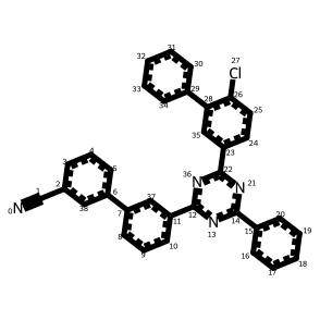 N#Cc1cccc(-c2cccc(-c3nc(-c4ccccc4)nc(-c4ccc(Cl)c(-c5ccccc5)c4)n3)c2)c1